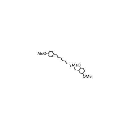 COc1ccc(C=CC=CC=CC=CC=Cc2cc(OC)ccc2OC)cc1